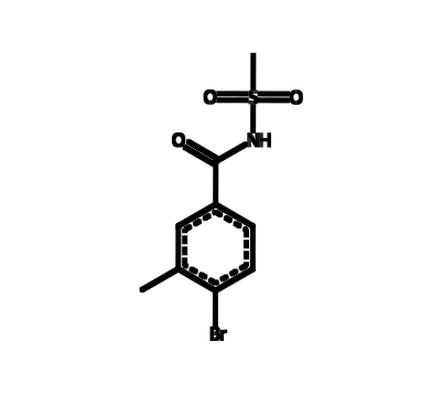 Cc1cc(C(=O)NS(C)(=O)=O)ccc1Br